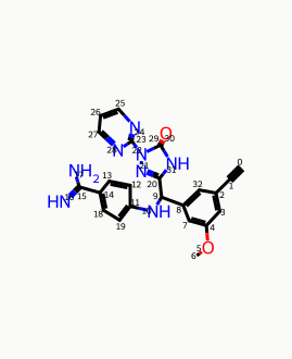 C#Cc1cc(OC)cc(C(Nc2ccc(C(=N)N)cc2)c2nn(-c3ncccn3)c(=O)[nH]2)c1